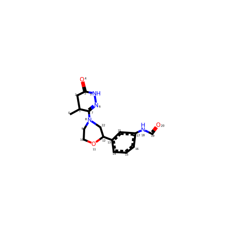 CC1CC(=O)NN=C1N1CCOC(c2cccc(NC=O)c2)C1